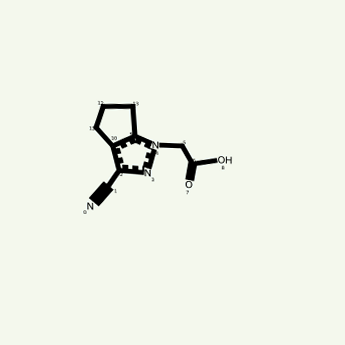 N#Cc1nn(CC(=O)O)c2c1CCC2